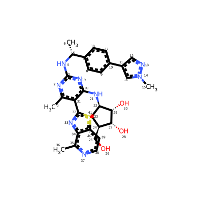 Cc1nc(N[C@H](C)c2ccc(-c3cnn(C)c3)cc2)nc(N[C@@H]2C[C@H](CO)[C@@H](O)[C@H]2O)c1-c1nc2c(C)nccc2s1